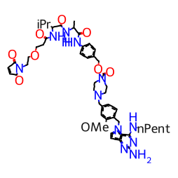 CCCCCNc1nc(N)nc2ccn(Cc3ccc(CN4CCN(C(=O)OCc5ccc(NC(=O)C(C)NC(=O)C(NC(=O)CCOCCN6C(=O)C=CC6=O)C(C)C)cc5)CC4)cc3OC)c12